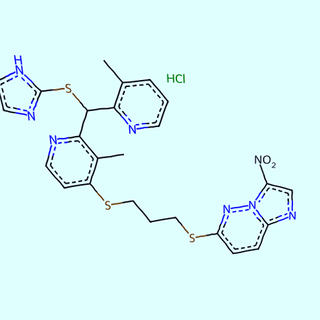 Cc1cccnc1C(Sc1ncc[nH]1)c1nccc(SCCCSc2ccc3ncc([N+](=O)[O-])n3n2)c1C.Cl